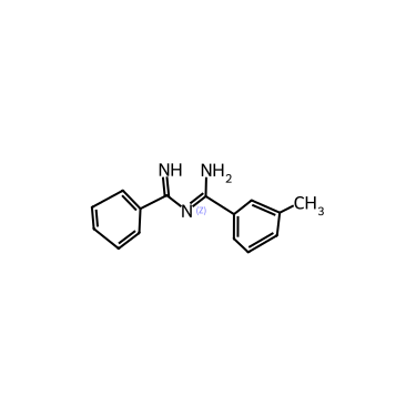 Cc1cccc(/C(N)=N/C(=N)c2ccccc2)c1